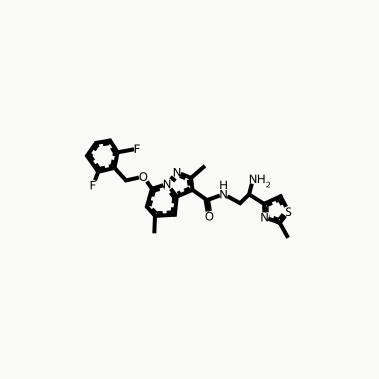 Cc1cc(OCc2c(F)cccc2F)n2nc(C)c(C(=O)NCC(N)c3csc(C)n3)c2c1